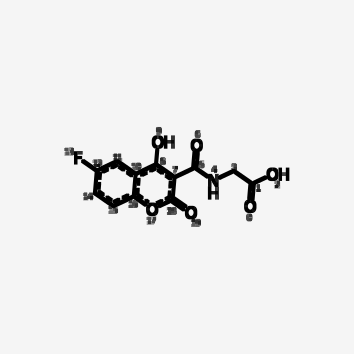 O=C(O)CNC(=O)c1c(O)c2cc(F)ccc2oc1=O